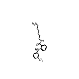 NCCCCCCNC(=O)c1ccccc1Nc1cccc(C(F)(F)F)c1